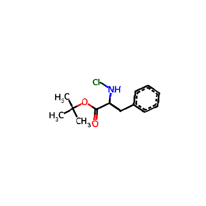 CC(C)(C)OC(=O)C(Cc1ccccc1)NCl